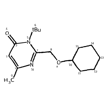 Cc1cc(=O)n(C(C)(C)C)c(COC2CCCCC2)n1